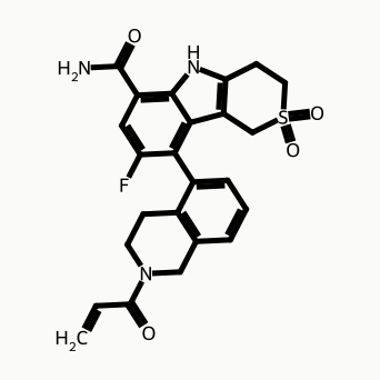 C=CC(=O)N1CCc2c(cccc2-c2c(F)cc(C(N)=O)c3[nH]c4c(c23)CS(=O)(=O)CC4)C1